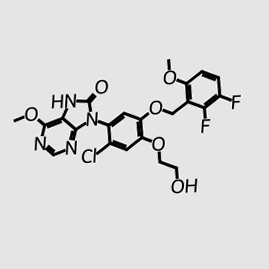 COc1ccc(F)c(F)c1COc1cc(-n2c(=O)[nH]c3c(OC)ncnc32)c(Cl)cc1OCCO